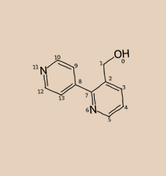 OCc1cccnc1-c1ccncc1